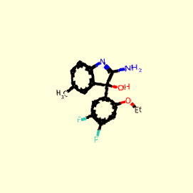 CCOc1cc(F)c(F)cc1C1(O)C(N)=Nc2ccc(C)cc21